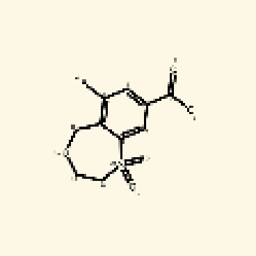 O=C(O)c1cc(F)c2c(c1)S(=O)(=O)CCOC2